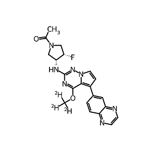 [2H]C([2H])([2H])Oc1nc(N[C@@H]2CN(C(C)=O)C[C@@H]2F)nn2ccc(-c3ccc4nccnc4c3)c12